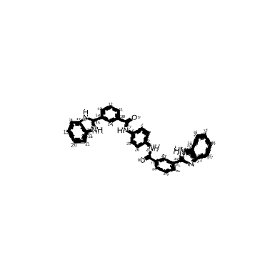 O=C(Nc1ccc(NC(=O)c2cccc(C3Nc4ccccc4N3)c2)cc1)c1cccc(-c2nc3ccccc3[nH]2)c1